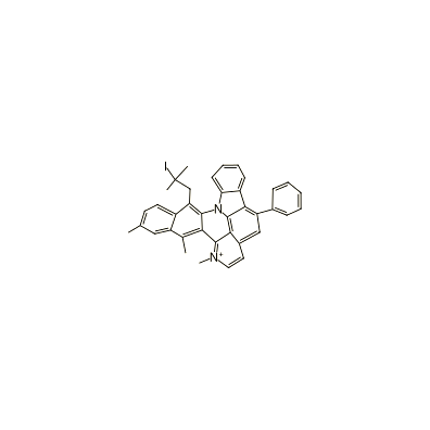 Cc1ccc2c(CC(C)(C)I)c3c(c(C)c2c1)c1c2c(cc[n+]1C)cc(-c1ccccc1)c1c4ccccc4n3c12